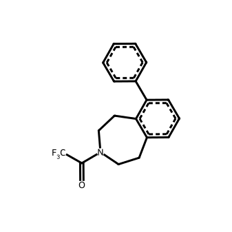 O=C(N1CCc2cccc(-c3ccccc3)c2CC1)C(F)(F)F